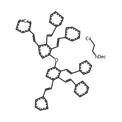 C(=Cc1ccc(Oc2ccc(C=Cc3ccccc3)c(C=Cc3ccccc3)c2C=Cc2ccccc2)c(C=Cc2ccccc2)c1C=Cc1ccccc1)c1ccccc1.CCCCCCCCCCC[CH2][Ca]